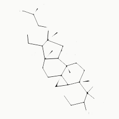 CC(=O)O[C@@H]([C@H]1C[C@@H](C)[C@H]2[C@H](O1)[C@H](C)[C@@]1(C)[C@@H]3CC[C@@H]4C(C)(C)C(O)CC[C@@]45C[C@@]35CC[C@]21C)C(C)(C)C